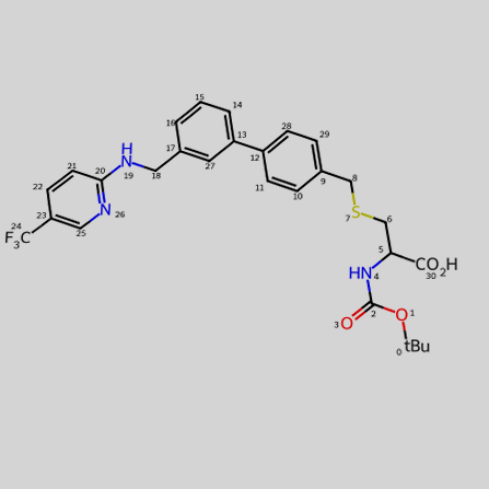 CC(C)(C)OC(=O)NC(CSCc1ccc(-c2cccc(CNc3ccc(C(F)(F)F)cn3)c2)cc1)C(=O)O